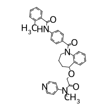 Cc1ccccc1C(=O)Nc1ccc(C(=O)N2CCCC(OCC(=O)N(C)c3ccncc3)c3ccccc32)cc1